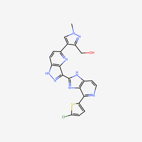 Cn1cc(-c2ccc3[nH]nc(-c4nc5c(-c6ccc(Cl)s6)nccc5[nH]4)c3n2)c(CO)n1